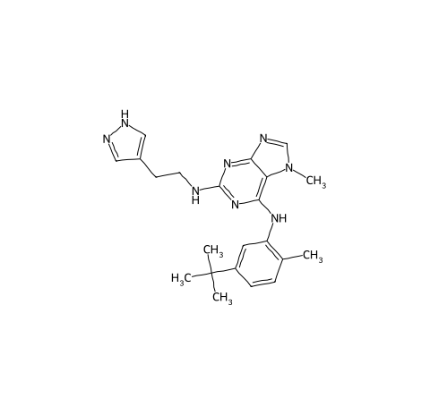 Cc1ccc(C(C)(C)C)cc1Nc1nc(NCCc2cn[nH]c2)nc2ncn(C)c12